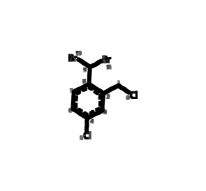 ClCc1cc(Cl)ccc1C(Br)Br